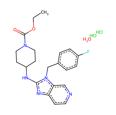 CCOC(=O)N1CCC(Nc2nc3ccncc3n2Cc2ccc(F)cc2)CC1.Cl.Cl.O